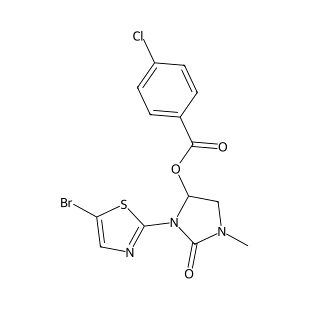 CN1CC(OC(=O)c2ccc(Cl)cc2)N(c2ncc(Br)s2)C1=O